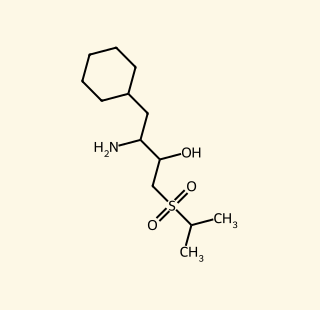 CC(C)S(=O)(=O)CC(O)C(N)CC1CCCCC1